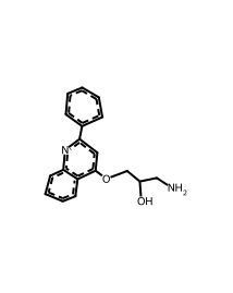 NCC(O)COc1cc(-c2ccccc2)nc2ccccc12